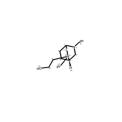 CC(C)N1C[C@@H]2CCC1C[N+]2(CCO)C(C)C